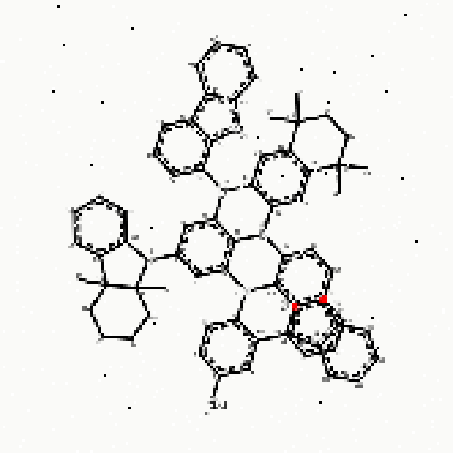 CC(C)(C)c1ccc(N2c3cc(N4c5ccccc5C5(C)CCCCC45C)cc4c3B(c3cc5c(cc3N4c3cccc4c3oc3ccccc34)C(C)(C)CCC5(C)C)c3ccc4c(sc5ccccc54)c32)c(-c2ccccc2)c1